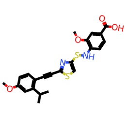 COc1ccc(C#Cc2nc(SNc3ccc(C(=O)O)cc3OC)cs2)c(C(C)C)c1